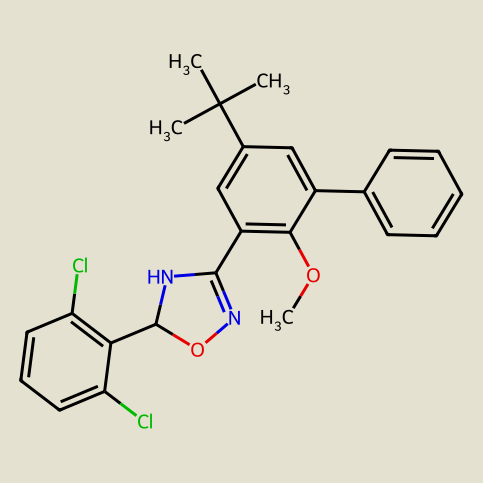 COc1c(C2=NOC(c3c(Cl)cccc3Cl)N2)cc(C(C)(C)C)cc1-c1ccccc1